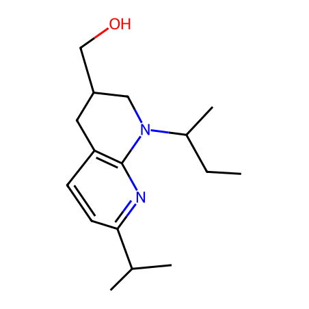 CCC(C)N1CC(CO)Cc2ccc(C(C)C)nc21